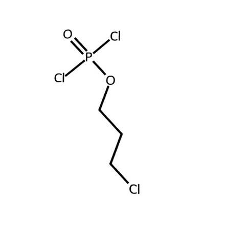 O=P(Cl)(Cl)OCCCCl